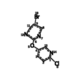 Clc1ccc(Oc2ncc(Br)cn2)cn1